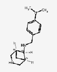 CN(C)c1ccc(CN[C@@H]2[C@@H]3CNC[C@H]2C3)cc1